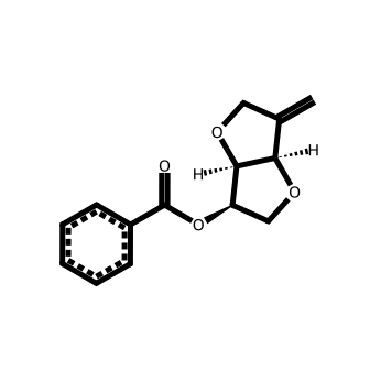 C=C1CO[C@H]2[C@@H]1OC[C@H]2OC(=O)c1ccccc1